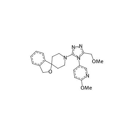 COCc1nnc(N2CCC3(CC2)OCc2ccccc23)n1-c1ccc(OC)nc1